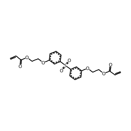 C=CC(=O)OCCOc1cccc(S(=O)(=O)c2cccc(OCCOC(=O)C=C)c2)c1